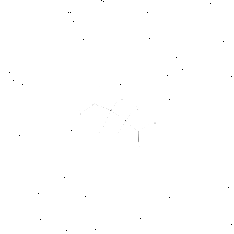 Br[C](Br)C(Br)(Br)C(Br)(Br)[C](Br)Br